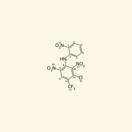 O=[N+]([O-])c1ccccc1Nc1c([N+](=O)[O-])cc(C(F)(F)F)c(Cl)c1[N+](=O)[O-]